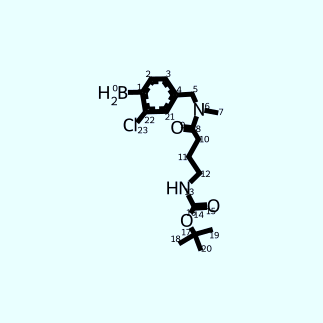 Bc1ccc(CN(C)C(=O)CCCNC(=O)OC(C)(C)C)cc1Cl